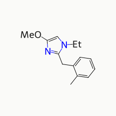 CCn1cc(OC)nc1Cc1ccccc1C